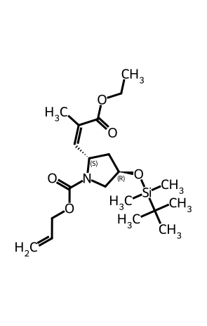 C=CCOC(=O)N1C[C@H](O[Si](C)(C)C(C)(C)C)C[C@H]1C=C(C)C(=O)OCC